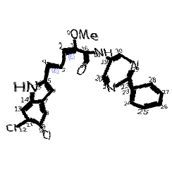 CO/C(=C/C=C/c1cc2cc(Cl)c(Cl)cc2[nH]1)C(=O)Nc1cnc(-c2ccccc2)nc1